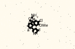 COc1ccc(C2(c3ccc(F)c(-c4cncc(F)c4)c3)COC(N)=N2)cc1Cl